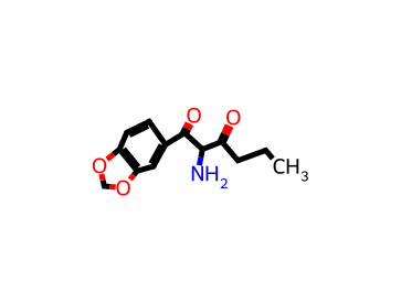 CCCC(=O)C(N)C(=O)c1ccc2c(c1)OCO2